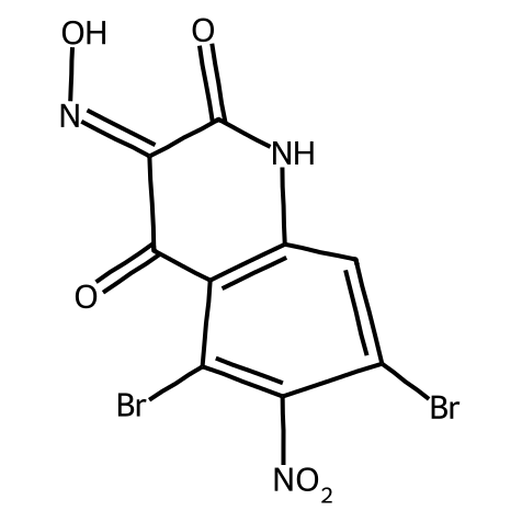 O=C1Nc2cc(Br)c([N+](=O)[O-])c(Br)c2C(=O)C1=NO